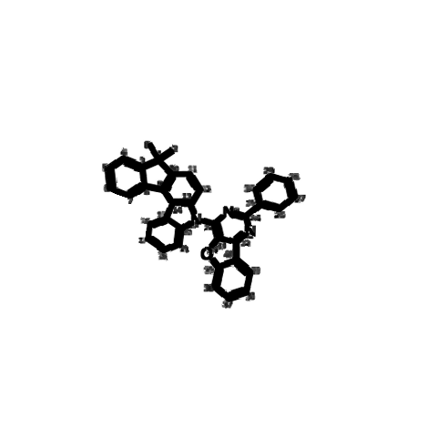 CC1(C)c2ccccc2-c2c1ccc1c2c2ccccc2n1-c1nc(-c2ccccc2)nc2c1oc1ccccc12